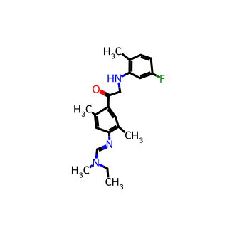 CCN(C)/C=N/c1cc(C)c(C(=O)CNc2cc(F)ccc2C)cc1C